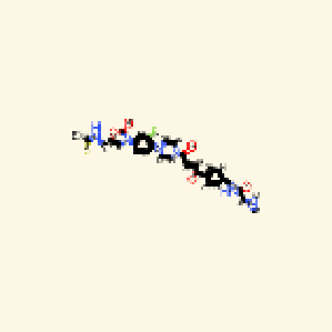 CCC(=S)NC[C@H]1CN(c2ccc(N3CCN(C(=O)CCC(=O)c4ccc(CNC(=O)CN(C)C)cc4)CC3)c(F)c2)C(=O)O1